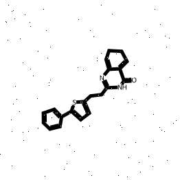 O=c1[nH]c(CCc2ccc(-c3ccccc3)s2)nc2c1=CCCC=2